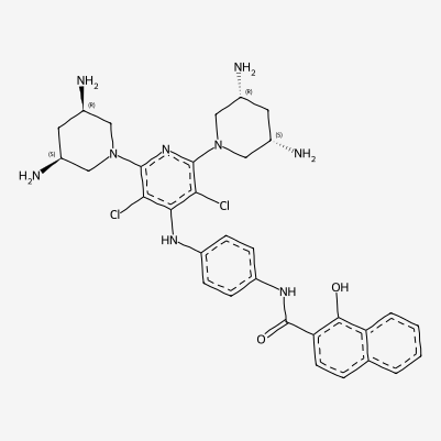 N[C@@H]1C[C@H](N)CN(c2nc(N3C[C@H](N)C[C@H](N)C3)c(Cl)c(Nc3ccc(NC(=O)c4ccc5ccccc5c4O)cc3)c2Cl)C1